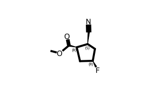 COC(=O)[C@@H]1C[C@H](F)C[C@@H]1C#N